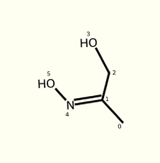 CC(CO)=NO